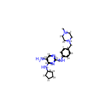 CN1CCN(Cc2ccc(Nc3ncc(N)c(NC4CCCC4)n3)cc2)CC1